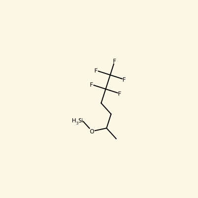 CC(CCC(F)(F)C(F)(F)F)O[SiH3]